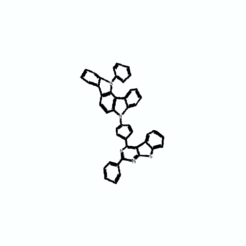 c1ccc(-c2nc(-c3ccc(-n4c5ccccc5c5c4ccc4c6ccccc6n(-c6ccccc6)c45)cc3)c3c(n2)sc2ccccc23)cc1